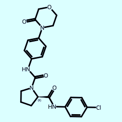 O=C(Nc1ccc(Cl)cc1)[C@H]1CCCN1C(=O)Nc1ccc(N2CCOCC2=O)cc1